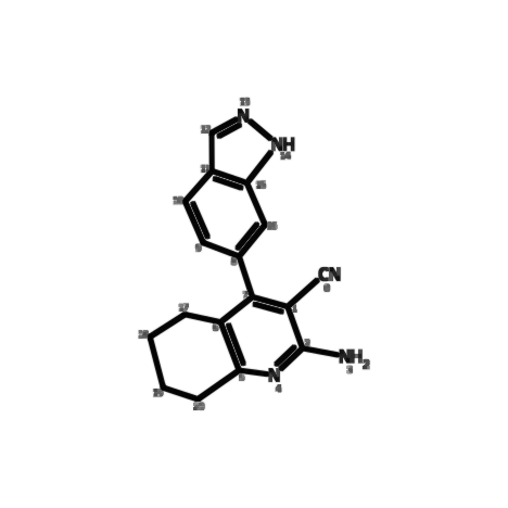 N#Cc1c(N)nc2c(c1-c1ccc3cn[nH]c3c1)CCCC2